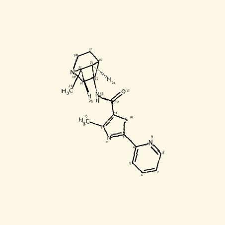 Cc1nc(-c2ccccn2)sc1C(=O)N[C@@H]1C2CCN(CC2)[C@H]1C